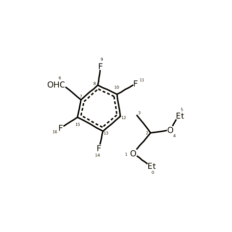 CCOC(C)OCC.O=Cc1c(F)c(F)cc(F)c1F